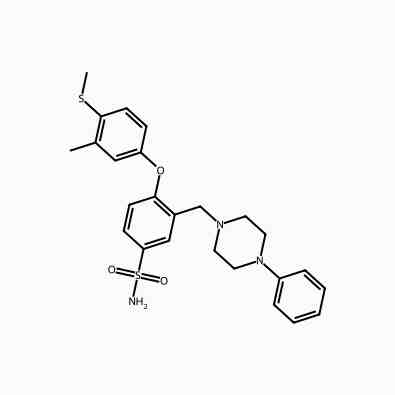 CSc1ccc(Oc2ccc(S(N)(=O)=O)cc2CN2CCN(c3ccccc3)CC2)cc1C